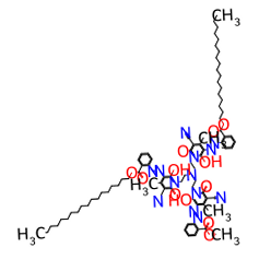 CCCCCCCCCCCCCCCCCCOC(=O)c1ccccc1/N=N/c1c(C)c(C#N)c(=O)n(CCN(CCn2c(O)c(/N=N/c3ccccc3C(=O)OC)c(C)c(C#N)c2=O)CCn2c(O)c(/N=N/c3ccccc3C(=O)OCCCCCCCCCCCCCCCCCC)c(C)c(C#N)c2=O)c1O